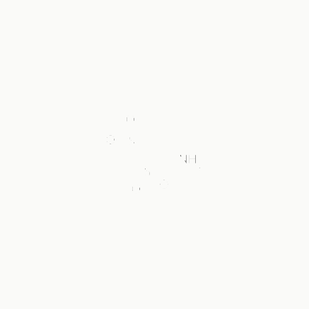 NC1CS(=O)(=O)CS1(=O)=O